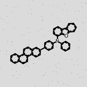 c1ccc(N(c2ccc(-c3ccc4c(ccc5c6ccccc6ccc45)c3)cc2)c2cccc3c2oc2ccccc23)cc1